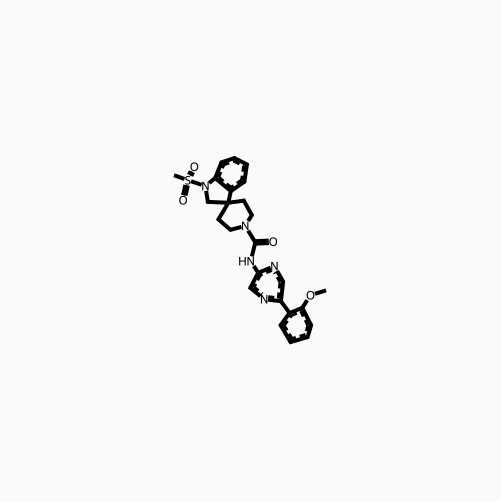 COc1ccccc1-c1cnc(NC(=O)N2CCC3(CC2)CN(S(C)(=O)=O)c2ccccc23)cn1